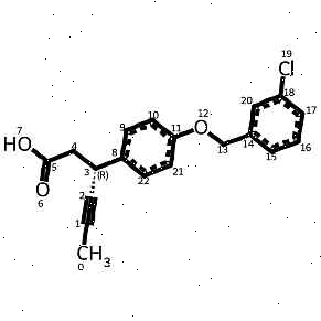 CC#C[C@H](CC(=O)O)c1ccc(OCc2cccc(Cl)c2)cc1